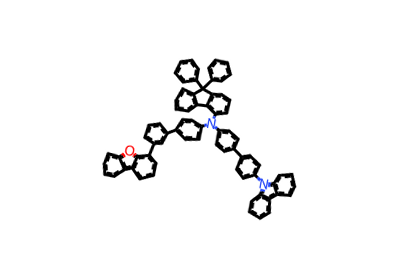 c1ccc(C2(c3ccccc3)c3ccccc3-c3c(N(c4ccc(-c5ccc(-n6c7ccccc7c7ccccc76)cc5)cc4)c4ccc(-c5cccc(-c6cccc7c6oc6ccccc67)c5)cc4)cccc32)cc1